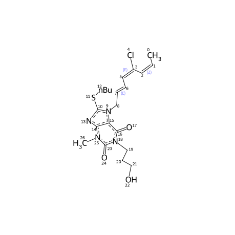 C\C=C/C(Cl)=C\C=C\Cn1c(SCCCC)nc2c1c(=O)n(CCCO)c(=O)n2C